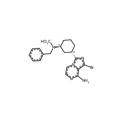 Nc1nccn2c([C@H]3CCC[C@H](N(Cc4ccccc4)C(=O)O)C3)nc(Br)c12